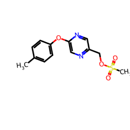 Cc1ccc(Oc2cnc(COS(C)(=O)=O)cn2)cc1